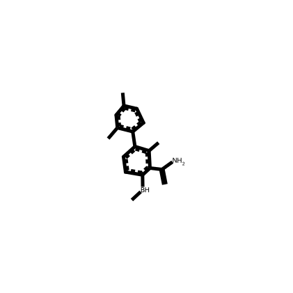 C=C(N)c1c(BC)ccc(-c2ccc(C)cc2C)c1C